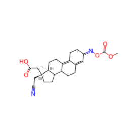 COC(=O)ON=C1C=C2CCC3C(=C2CC1)CC[C@@]1(C)C3CC[C@]1(CC#N)CC(=O)O